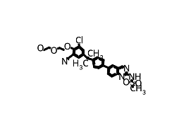 CC(C)(c1ccc(-c2ccc3nc(NS(C)(=O)=O)ncc3c2)cc1)c1cc(Cl)c(OCCOCC=O)c(C#N)c1